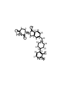 O=C1CCN(N2Cc3cc(CN4CCC(c5ccnc(F)c5F)CC4)ccc3C2=O)C(=O)N1